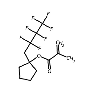 C=C(C)C(=O)OC1(CC(F)(F)C(F)(F)C(F)(F)F)CCCC1